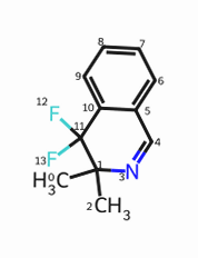 CC1(C)N=Cc2ccccc2C1(F)F